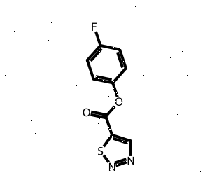 O=C(Oc1ccc(F)cc1)c1cnns1